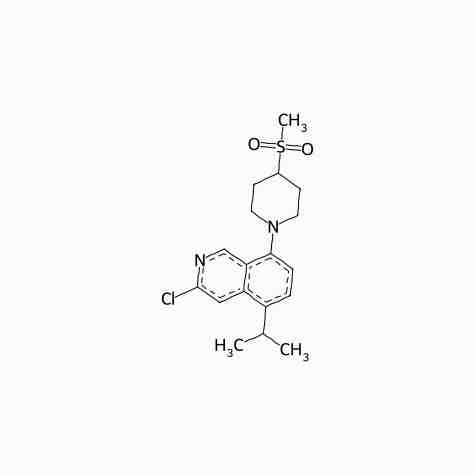 CC(C)c1ccc(N2CCC(S(C)(=O)=O)CC2)c2cnc(Cl)cc12